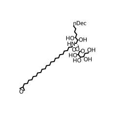 CCCCCCCCCCCCCC[C@@H](O)[C@@H](O)[C@H](COC1OC(CO)C(O)C(O)C1O)NC(=O)CCCCCCCCCCCCCCCCCCCCCC1COC1